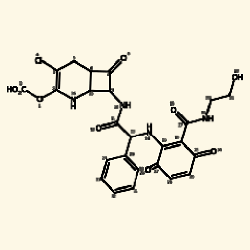 O=C(O)OC1=C(Cl)CC2C(=O)C(NC(=O)C(NC3=C(C(=O)NCCO)C(=O)C=CC3=O)c3ccccc3)C2N1